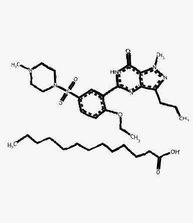 CCCCCCCCCCCCC(=O)O.CCCc1nn(C)c2c(=O)[nH]c(-c3cc(S(=O)(=O)N4CCN(C)CC4)ccc3OCC)nc12